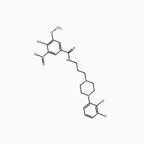 COc1cc(C(=O)NCCCN2CCN(c3cccc(Cl)c3Cl)CC2)cc([N+](=O)[O-])c1O